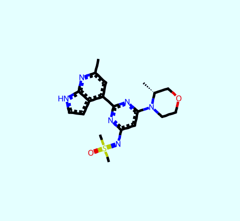 Cc1cc(-c2nc(N=S(C)(C)=O)cc(N3CCOC[C@H]3C)n2)c2cc[nH]c2n1